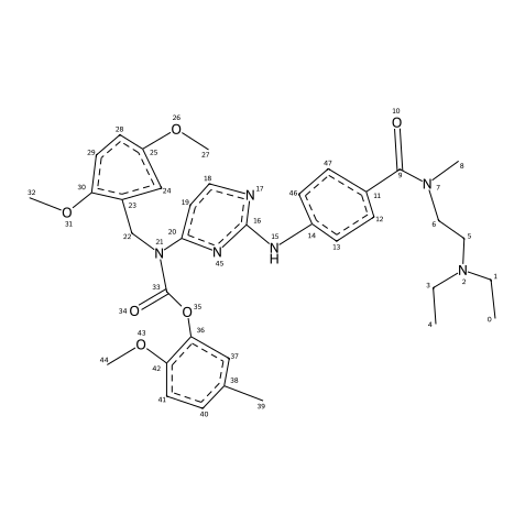 CCN(CC)CCN(C)C(=O)c1ccc(Nc2nccc(N(Cc3cc(OC)ccc3OC)C(=O)Oc3cc(C)ccc3OC)n2)cc1